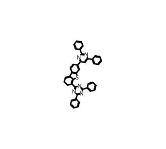 C1=c2c(sc3cc(-c4cc(-c5ccccc5)nc(-c5ccccc5)n4)ccc23)=C(c2nc(-c3ccccc3)nc(-c3ccccc3)n2)CC1